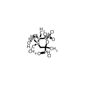 C.CC1([PH](=O)Cl)C[Si](C)([PH](=O)Cl)[Si](C)(C)[Si](C)([PH](=O)Cl)O1